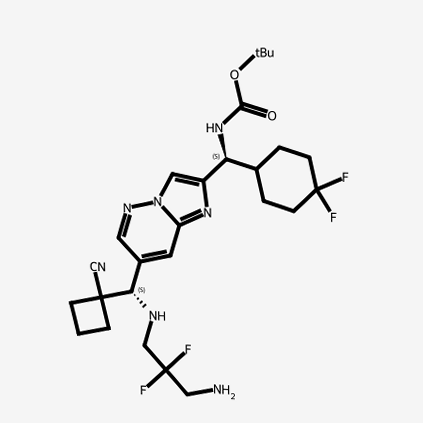 CC(C)(C)OC(=O)N[C@H](c1cn2ncc([C@H](NCC(F)(F)CN)C3(C#N)CCC3)cc2n1)C1CCC(F)(F)CC1